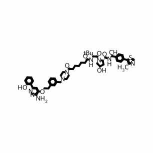 Cc1ncsc1-c1ccc([C@H](C)NC(=O)[C@@H]2C[C@@H](O)CN2C(=O)[C@@H](NC(=O)CCCCCC(=O)N2CCN(Cc3cccc(CCOc4cc(-c5ccccc5O)nnc4N)c3)CC2)C(C)(C)C)cc1